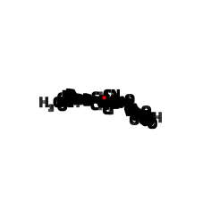 CC(C)(c1ccc(OCc2ccnc(NS(C)(=O)=O)n2)cc1)c1cc(Cl)c(N2CCC3(CC2)CN(C(=O)c2ccc4c(c2)CN(C2CCC(=O)NC2=O)C4=O)C3)c(C#N)c1